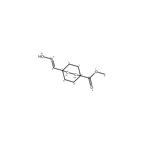 COC(=O)C12CCC(C=NO)(CC1)CC2